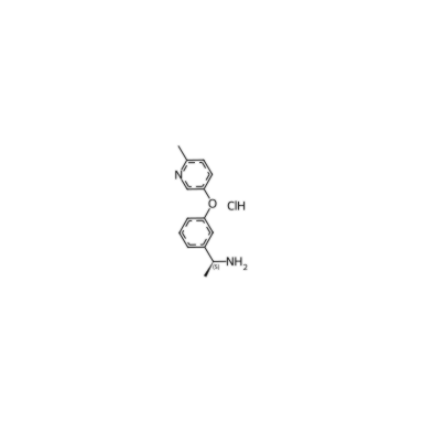 Cc1ccc(Oc2cccc([C@H](C)N)c2)cn1.Cl